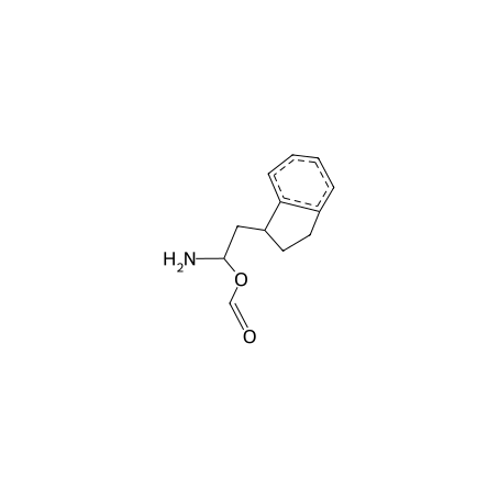 NC(CC1CCc2ccccc21)OC=O